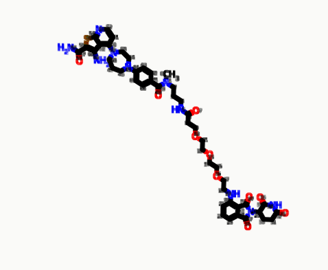 CN(CCCNC(=O)CCOCCOCCOCCNc1cccc2c1C(=O)N(C1CCC(=O)NC1=O)C2=O)C(=O)c1ccc(N2CCCN(c3ccnc4sc(C(N)=O)c(N)c34)CC2)cc1